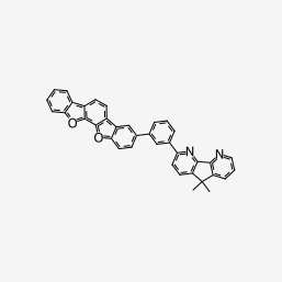 CC1(C)c2cccnc2-c2nc(-c3cccc(-c4ccc5oc6c(ccc7c8ccccc8oc76)c5c4)c3)ccc21